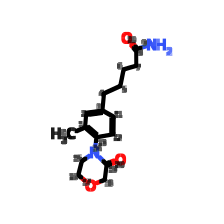 Cc1cc(CCCCC(N)=O)ccc1N1CCOCC1=O